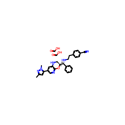 Cc1cc(-c2cnc3c(c2)NC[C@@H]([C@H](NCCc2ccc(C#N)cc2)c2ccccc2)O3)n(C)n1.O=CO.O=CO